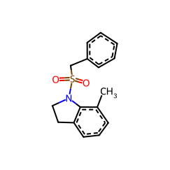 Cc1cccc2c1N(S(=O)(=O)Cc1ccccc1)CC2